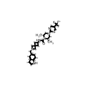 C[C@@H]1CN(c2ncc(C(F)(F)F)cn2)C[C@H](C)N1C(=O)NC1CC2(C1)CN(Cc1ccc3[nH]ccc3c1)C2